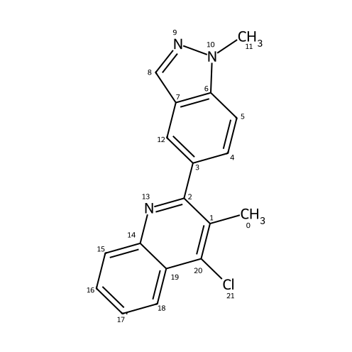 Cc1c(-c2ccc3c(cnn3C)c2)nc2cc[c]cc2c1Cl